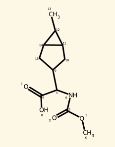 COC(=O)NC(C(=O)O)C1CC2C(C)C2C1